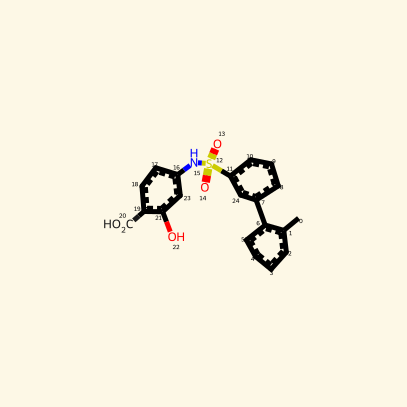 Cc1ccccc1-c1cccc(S(=O)(=O)Nc2ccc(C(=O)O)c(O)c2)c1